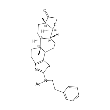 CC(=O)N(CCc1ccccc1)c1nc2c(s1)C1CC[C@@H]3[C@H](CC[C@]4(C)C(=O)CC[C@@H]34)[C@@]1(C)CC2